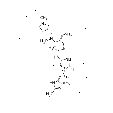 C=C(/N=C\C(=C/N)CN(C)C[C@@H]1CCN(C)C1)NC1C=C(c2cc(F)c3nc(C)[nH]c3c2)C(I)=CN1